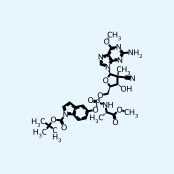 COC(=O)[C@H](C)NP(=O)(OC[C@H]1O[C@@H](n2cnc3c(OC)nc(N)nc32)[C@](C)(C#N)[C@@H]1O)Oc1ccc2c(ccn2C(=O)OC(C)(C)C)c1